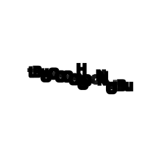 CC(C)(C)C(=O)CCCCn1nnc2c1CCC1C(CC2)C1COC(=O)NCCOCCOCCOCCOCCC(=O)C(C)(C)C